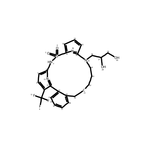 O=S1(=O)Nc2ccc(C(F)(F)F)c(n2)-c2ccccc2CCCCCN(CC(O)CO)c2cccc1n2